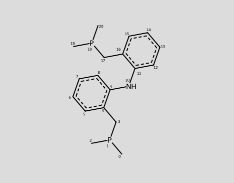 CP(C)Cc1ccccc1Nc1ccccc1CP(C)C